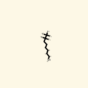 FC(F)(F)C(F)(F)CCCCCCS